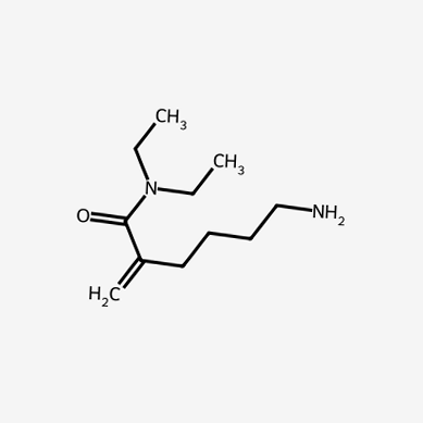 C=C(CCCCN)C(=O)N(CC)CC